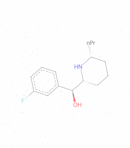 CCC[C@@H]1CCC[C@H]([C@@H](O)c2cccc(F)c2)N1